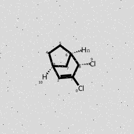 ClC1=C[C@H]2CC[C@H](C2)[C@@H]1Cl